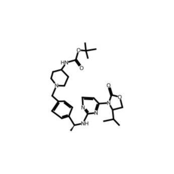 CC(C)C1COC(=O)N1c1ccnc(N[C@@H](C)c2ccc(CN3CCC(NC(=O)OC(C)(C)C)CC3)cc2)n1